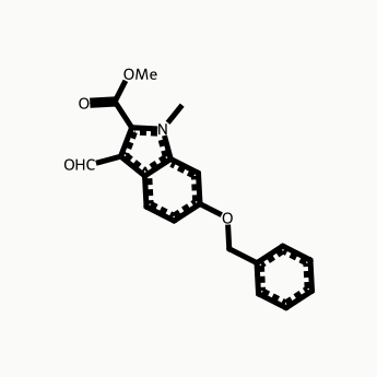 COC(=O)c1c(C=O)c2ccc(OCc3ccccc3)cc2n1C